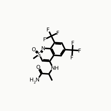 CC(NC1=CS(C)(=O)=Nc2c1cc(C(F)(F)F)cc2C(F)(F)F)C(N)=O